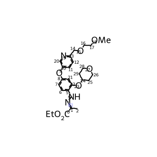 CCOC(=O)/C(C)=N/Nc1ccc(Oc2ccc(COCCOC)nc2)cc1OC1CCOCC1